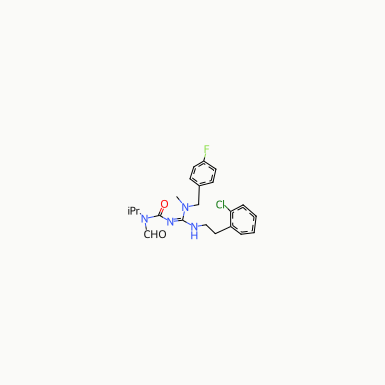 CC(C)N(C=O)C(=O)/N=C(/NCCc1ccccc1Cl)N(C)Cc1ccc(F)cc1